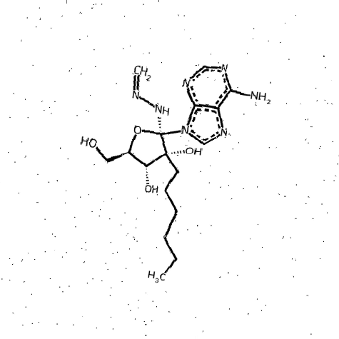 C=NN[C@@]1(n2cnc3c(N)ncnc32)O[C@H](CO)[C@@H](O)[C@]1(O)CCCCCC